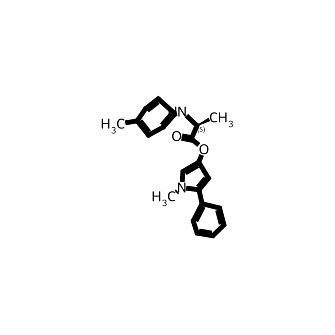 Cc1ccc(N[C@@H](C)C(=O)Oc2cc(-c3ccccc3)n(C)c2)cc1